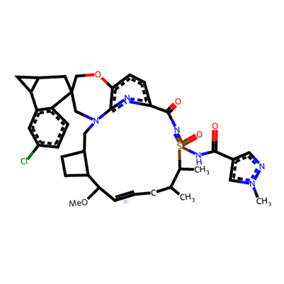 COC1/C=C/CC(C)C(C)S(=O)(NC(=O)c2cnn(C)c2)=NC(=O)c2ccc3c(n2)N(CC2CCC21)CC1(CO3)CC2CC2c2cc(Cl)ccc21